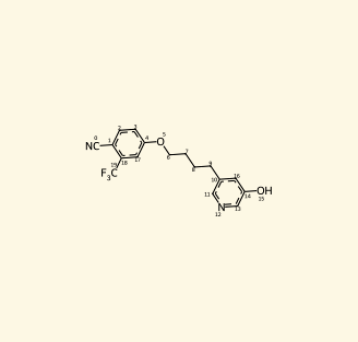 N#Cc1ccc(OCCCCc2cncc(O)c2)cc1C(F)(F)F